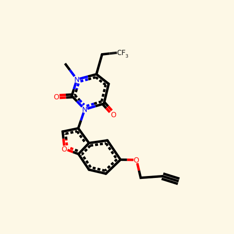 C#CCOc1ccc2occ(-n3c(=O)cc(CC(F)(F)F)n(C)c3=O)c2c1